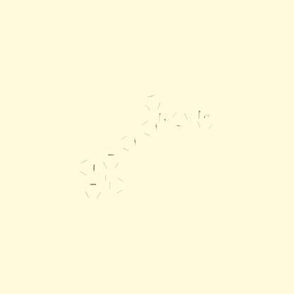 CC1(C)c2cc(-c3ccc4c(c3)c3ccccc3n4-c3ccc(-c4ccccn4)cc3)ccc2-c2ccc([Si](c3ccccc3)(c3ccccc3)c3ccccc3)cc21